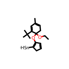 CCOC1(OC2=[C]([SnH])CC=C2)CC=C(C)C=C1C(C)(C)C